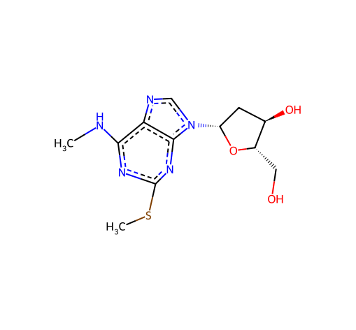 CNc1nc(SC)nc2c1ncn2[C@@H]1C[C@@H](O)[C@H](CO)O1